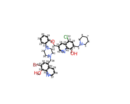 Oc1c(CN2CCCCC2)cc(Cl)c2cc(COc3ccccc3N3CCN(Cc4cc(Br)c(O)c5ncccc45)CC3)cnc12